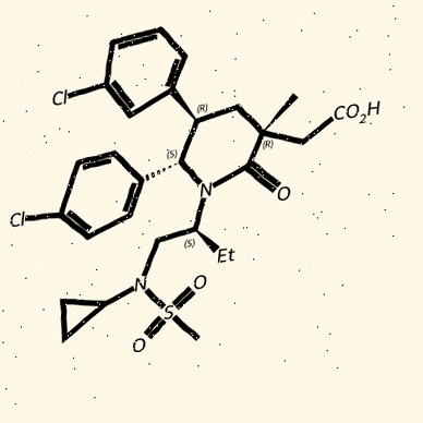 CC[C@@H](CN(C1CC1)S(C)(=O)=O)N1C(=O)[C@@](C)(CC(=O)O)C[C@H](c2cccc(Cl)c2)[C@H]1c1ccc(Cl)cc1